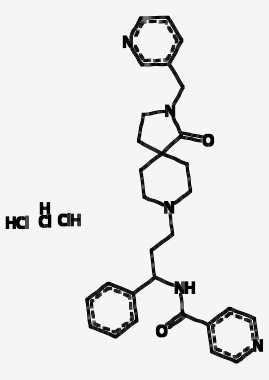 Cl.Cl.Cl.O=C(NC(CCN1CCC2(CC1)CCN(Cc1cccnc1)C2=O)c1ccccc1)c1ccncc1